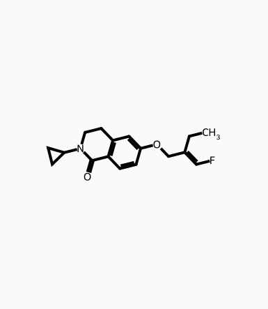 CC/C(=C\F)COc1ccc2c(c1)CCN(C1CC1)C2=O